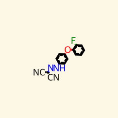 N#CC(C#N)=NNc1ccc(Oc2ccccc2F)cc1